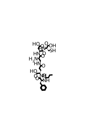 CCCC(=O)N[C@@H](Cc1ccccc1)C(=O)N[C@@H](CCC(=O)NC[C@H](N)C(=O)N[C@@H](CC(=O)O)C(=O)N[C@@H](CS)C(=O)O)C(=O)O